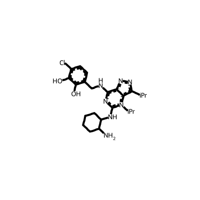 CC(C)c1nnc2c(NCc3ccc(Cl)c(O)c3O)nc(NC3CCCCC3N)n(C(C)C)c1-2